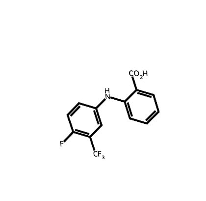 O=C(O)c1ccccc1Nc1ccc(F)c(C(F)(F)F)c1